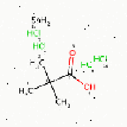 CC(C)(C)C(=O)O.Cl.Cl.Cl.Cl.[SnH2]